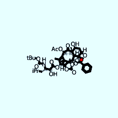 CC(=O)O[C@H]1C(=O)[C@@]2(C)[C@H]([C@H](OC(=O)c3ccccc3)[C@]34OC(=O)O[C@H]3[C@H](OC(=O)[C@H](O)[C@H](CC(C)C)NC(=O)OC(C)(C)C)C(C)=C1C4(C)C)C1(OC(C)=O)CO[C@@H]1C[C@@H]2O